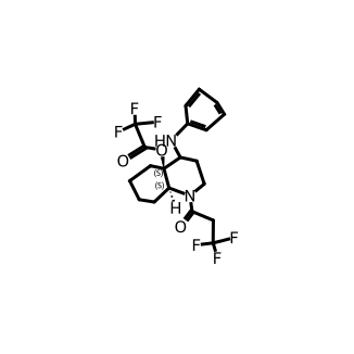 O=C(CC(F)(F)F)N1CCC(Nc2ccccc2)[C@@]2(OC(=O)C(F)(F)F)CCCC[C@H]12